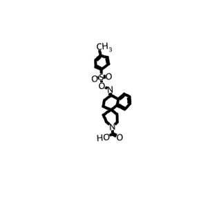 Cc1ccc(S(=O)(=O)O/N=C2\CCC3(CCN(C(=O)O)CC3)c3ccccc32)cc1